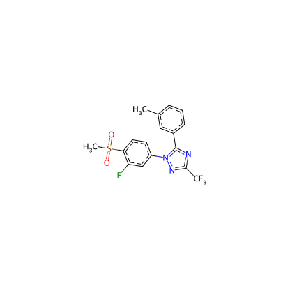 Cc1cccc(-c2nc(C(F)(F)F)nn2-c2ccc(S(C)(=O)=O)c(F)c2)c1